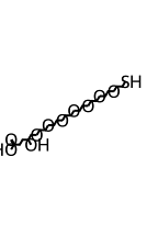 O=C(O)CCC(O)COCCOCCOCCOCCOCCOCCOCCS